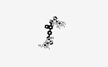 CC(C)(C)OC(=O)N1CCS[C@H]1c1ncc(-c2ccc(-c3ccc(-c4cnc([C@@H]5SCCN5C(=O)OC(C)(C)C)[nH]4)c4c3C3CCC4C3)cc2)[nH]1